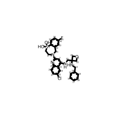 OS1(O)CCN(c2cc(NCC3(NCc4ccccc4)COC3)c3cc(Cl)ccc3n2)Cc2cc(F)ccc21